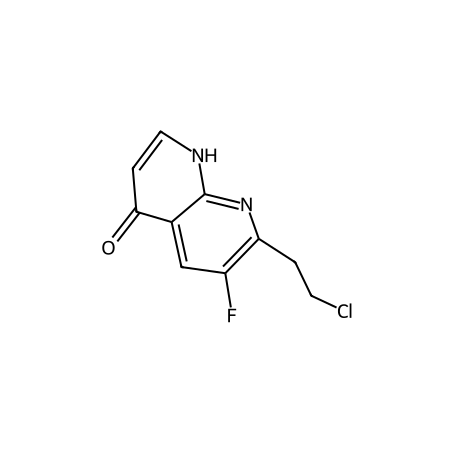 O=c1cc[nH]c2nc(CCCl)c(F)cc12